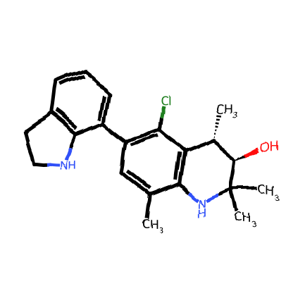 Cc1cc(-c2cccc3c2NCC3)c(Cl)c2c1NC(C)(C)[C@H](O)[C@H]2C